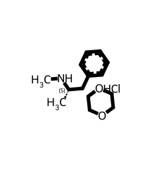 C1COCCO1.CN[C@@H](C)Cc1ccccc1.Cl